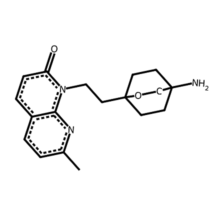 Cc1ccc2ccc(=O)n(CCC34CCC(N)(CC3)CO4)c2n1